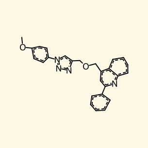 COc1ccc(-n2cc(COCc3cc(-c4ccccc4)nc4ccccc34)nn2)cc1